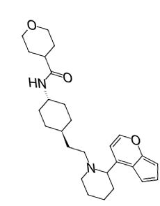 O=C(N[C@H]1CC[C@H](CCN2CCCCC2c2ccoc3cccc2-3)CC1)C1CCOCC1